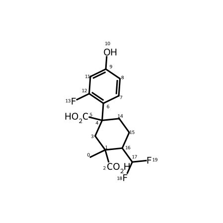 CC1(C(=O)O)CC(C(=O)O)(c2ccc(O)cc2F)CCC1C(F)F